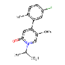 COc1cn(C(C(=O)O)C(C)(C)C)c(=O)cc1-c1cc(F)ccc1C#N